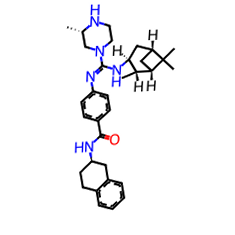 C[C@@H]1[C@@H](N/C(=N\c2ccc(C(=O)N[C@@H]3CCc4ccccc4C3)cc2)N2CCN[C@@H](C)C2)C[C@H]2C[C@@H]1C2(C)C